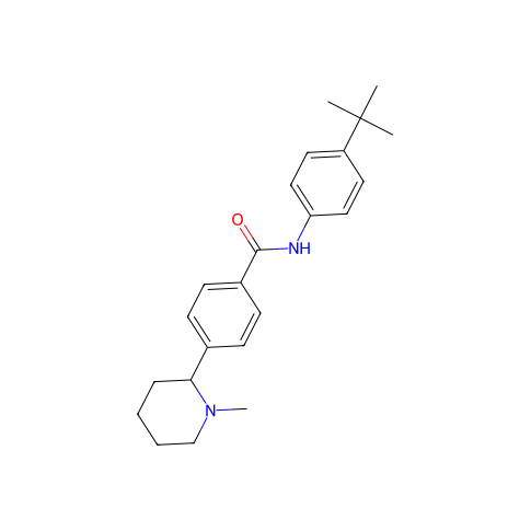 CN1CCCCC1c1ccc(C(=O)Nc2ccc(C(C)(C)C)cc2)cc1